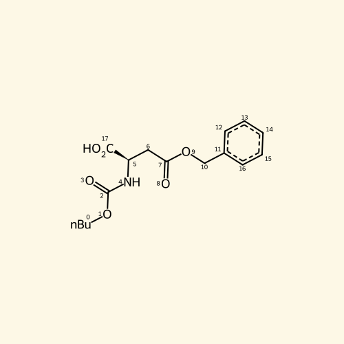 CCCCOC(=O)N[C@H](CC(=O)OCc1ccccc1)C(=O)O